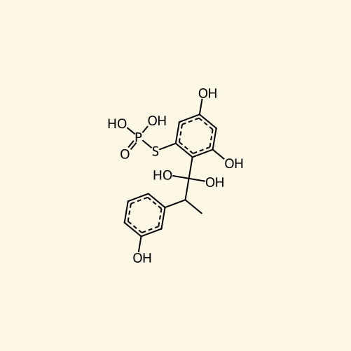 CC(c1cccc(O)c1)C(O)(O)c1c(O)cc(O)cc1SP(=O)(O)O